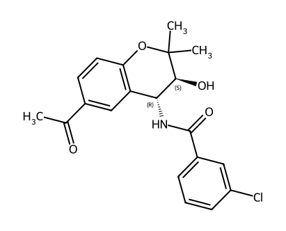 CC(=O)c1ccc2c(c1)[C@@H](NC(=O)c1cccc(Cl)c1)[C@H](O)C(C)(C)O2